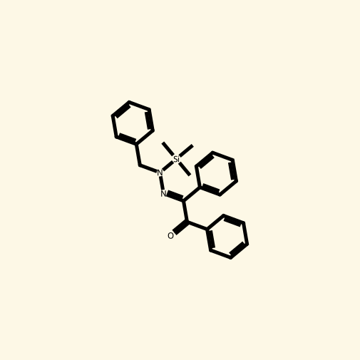 C[Si](C)(C)N(Cc1ccccc1)N=C(C(=O)c1ccccc1)c1ccccc1